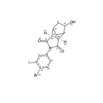 Cc1cc(N2C(=O)[C@@H]3C4CC(CC4O)[C@@H]3C2=O)ccc1Br